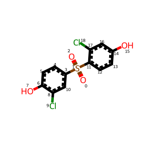 O=S(=O)(c1ccc(O)c(Cl)c1)c1ccc(O)cc1Cl